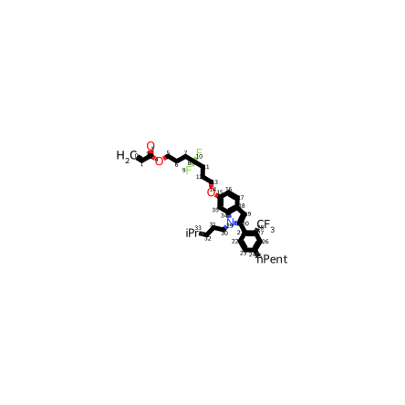 C=CC(=O)OCCCC(F)(F)CCCOc1ccc2cc(-c3ccc(CCCCC)cc3C(F)(F)F)n(CCCC(C)C)c2c1